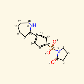 O=C1CCCN1S(=O)(=O)c1ccc(C2CCCCCN2)cc1